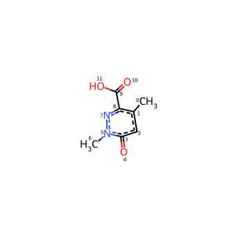 Cc1cc(=O)n(C)nc1C(=O)O